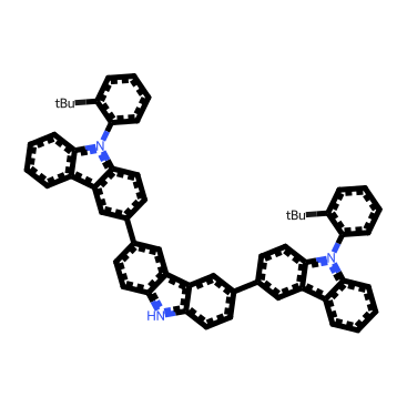 CC(C)(C)c1ccccc1-n1c2ccccc2c2cc(-c3ccc4[nH]c5ccc(-c6ccc7c(c6)c6ccccc6n7-c6ccccc6C(C)(C)C)cc5c4c3)ccc21